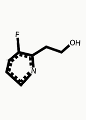 OCCc1ncc[c]c1F